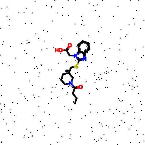 CCCC(=O)N1CCC[C@@H](CSc2nc3ccccc3n2CC(=O)O)C1